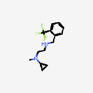 CN(CCNCc1ccccc1C(F)(F)F)C1CC1